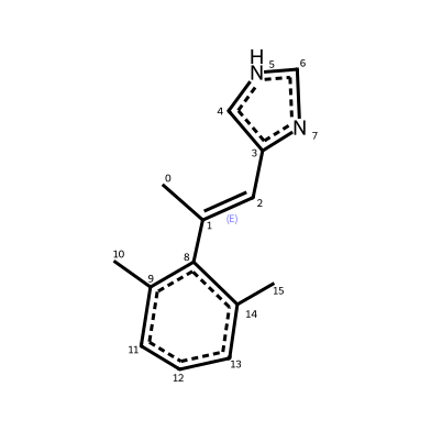 C/C(=C\c1c[nH]cn1)c1c(C)cccc1C